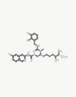 CN(C(=O)NCc1cccc(F)c1Cl)[C@@H](CCCCC(O)[C@H](N)C(=O)O)COC(=O)Nc1cc2cc(F)ccc2cn1